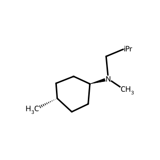 CC(C)CN(C)[C@H]1CC[C@H](C)CC1